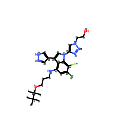 CC(C)(C)[Si](C)(C)OCCCNc1cc(Cl)c(F)c2c1c(-c1cn[nH]c1)cn2-c1cn(CCO)nn1